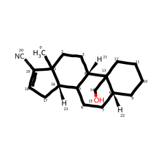 CC12CC[C@H]3C(CC[C@H]4CCCCC43CO)[C@@H]1CC=C2C#N